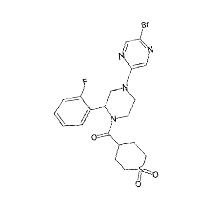 O=C(C1CCS(=O)(=O)CC1)N1CCN(c2cnc(Br)cn2)CC1c1ccccc1F